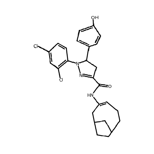 O=C(N/C1=C/CCC2CCC(C1)C2)C1=NN(c2ccc(Cl)cc2Cl)C(c2ccc(O)cc2)C1